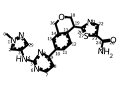 Cn1cc(Nc2nccc(-c3ccc4c(c3)COCC4c3ncc(C(N)=O)s3)n2)cn1